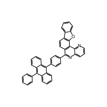 c1ccc(-c2c3ccccc3c(-c3ccc(-c4nc5cccnc5c5c4ccc4c6ccccc6oc45)cc3)c3ccccc23)cc1